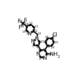 Nc1ncnc(-c2cnn(Cc3ccc(C(F)(F)F)cn3)c2)c1-c1ccc(Cl)cc1